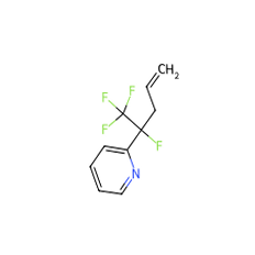 C=CCC(F)(c1ccccn1)C(F)(F)F